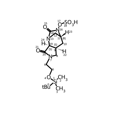 CC(C)(C)[Si](C)(C)OCCN1C[C@@H]2C[C@@H]3CN(C(=O)N3OS(=O)(=O)O)[C@@H]2C1=O